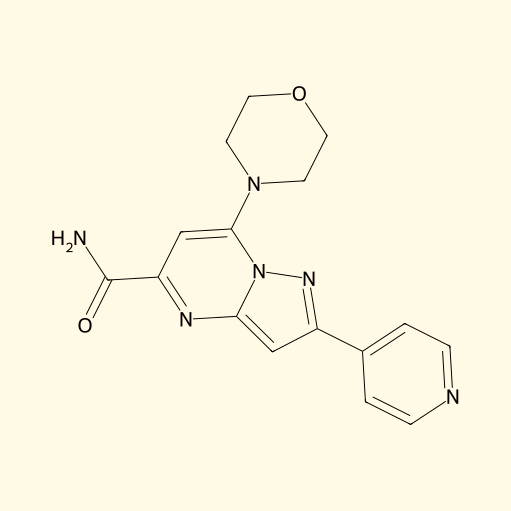 NC(=O)c1cc(N2CCOCC2)n2nc(-c3ccncc3)cc2n1